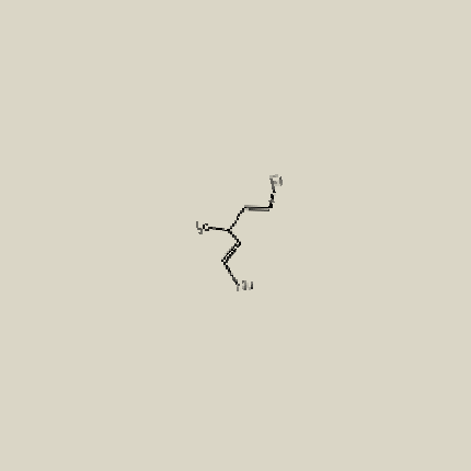 [CH2]C(C=CCC)C=CCCCC